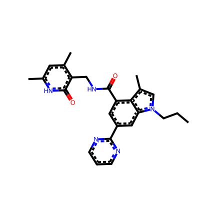 CCCn1cc(C)c2c(C(=O)NCc3c(C)cc(C)[nH]c3=O)cc(-c3ncccn3)cc21